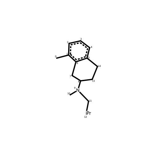 Cc1cccc2c1CC(N(C)CC(C)C)CC2